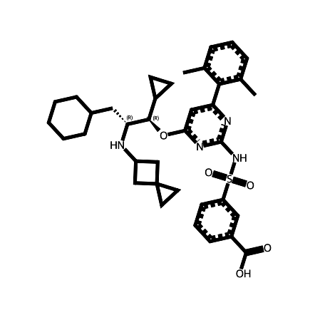 Cc1cccc(C)c1-c1cc(O[C@H](C2CC2)[C@@H](CC2CCCCC2)NC2CC3(CC3)C2)nc(NS(=O)(=O)c2cccc(C(=O)O)c2)n1